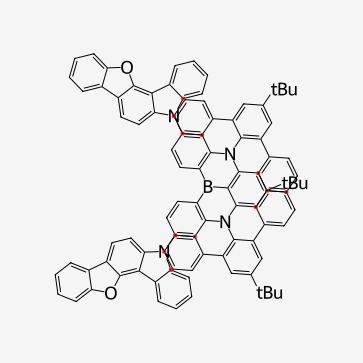 CC(C)(C)c1cc(-c2ccccc2)c(N2c3cc(-n4c5ccccc5c5c6oc7ccccc7c6ccc54)ccc3B3c4ccc(-n5c6ccccc6c6c7oc8ccccc8c7ccc65)cc4N(c4c(-c5ccccc5)cc(C(C)(C)C)cc4-c4ccccc4)c4cc(C(C)(C)C)cc2c43)c(-c2ccccc2)c1